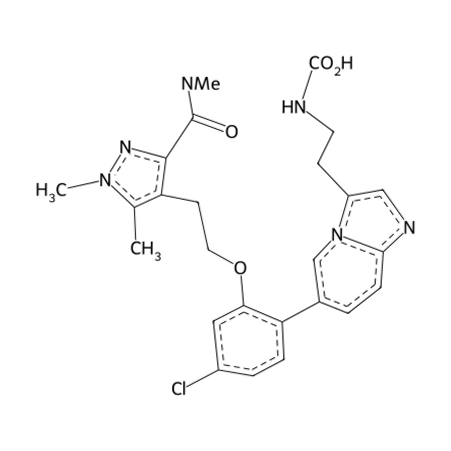 CNC(=O)c1nn(C)c(C)c1CCOc1cc(Cl)ccc1-c1ccc2ncc(CCNC(=O)O)n2c1